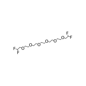 FC(F)COCCOCCOCCOCCOCCOCC(F)F